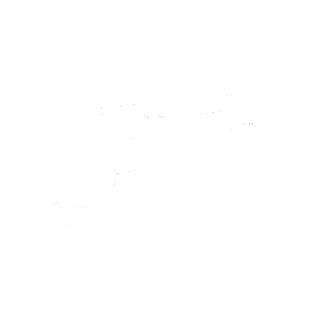 COC(=O)c1ccc(N(CC2CC2)C2CCN(C(=O)OC(C)(C)C)CC2)cc1